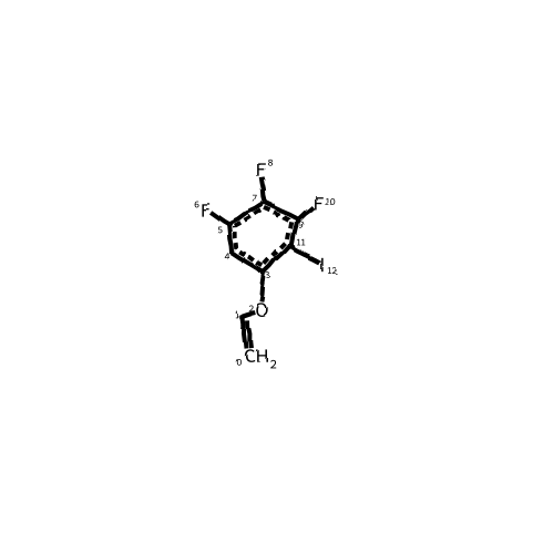 C=COc1cc(F)c(F)c(F)c1I